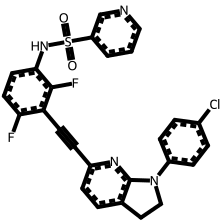 O=S(=O)(Nc1ccc(F)c(C#Cc2ccc3c(n2)N(c2ccc(Cl)cc2)CC3)c1F)c1cccnc1